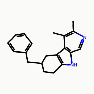 Cc1ncc2[nH]c3c(c2c1C)CC(Cc1ccccc1)CC3